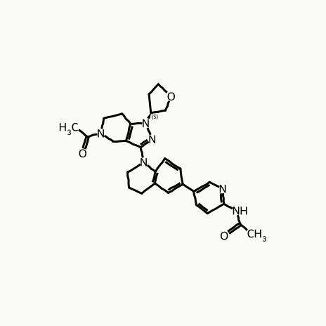 CC(=O)Nc1ccc(-c2ccc3c(c2)CCCN3c2nn([C@H]3CCOC3)c3c2CN(C(C)=O)CC3)cn1